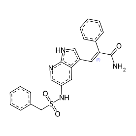 NC(=O)/C(=C/c1c[nH]c2ncc(NS(=O)(=O)Cc3ccccc3)cc12)c1ccccc1